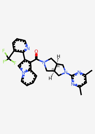 Cc1cc(C)nc(N2C[C@H]3CN(C(=O)c4c(-c5ncccc5C(F)(F)F)cn5ccccc45)C[C@H]3C2)n1